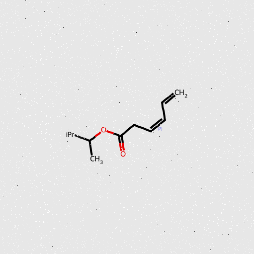 C=C/C=C\CC(=O)OC(C)C(C)C